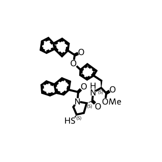 COC(=O)[C@H](Cc1ccc(OC(=O)c2ccc3ccccc3c2)cc1)NC(=O)[C@@H]1C[C@H](S)CN1C(=O)c1ccc2ccccc2c1